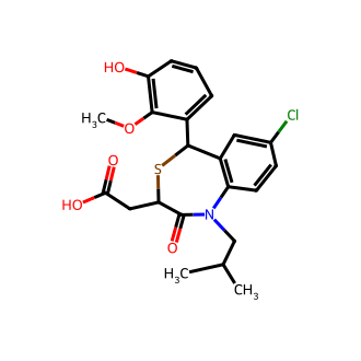 COc1c(O)cccc1C1SC(CC(=O)O)C(=O)N(CC(C)C)c2ccc(Cl)cc21